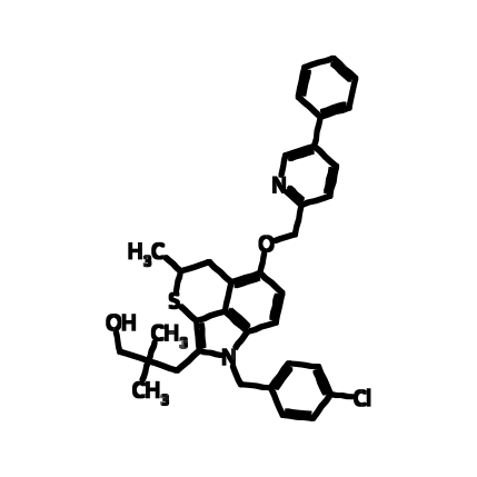 CC1Cc2c(OCc3ccc(-c4ccccc4)cn3)ccc3c2c(c(CC(C)(C)CO)n3Cc2ccc(Cl)cc2)S1